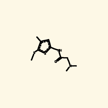 CSc1sc(NC(=O)CN(C)C)cc1C